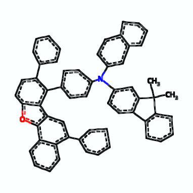 CC1(C)c2ccccc2-c2ccc(N(c3ccc(-c4c(-c5ccccc5)ccc5oc6c7ccccc7c(-c7ccccc7)cc6c45)cc3)c3ccc4ccccc4c3)cc21